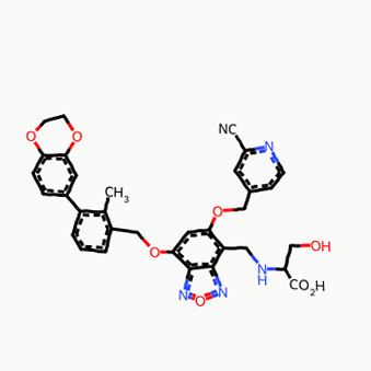 Cc1c(COc2cc(OCc3ccnc(C#N)c3)c(CNC(CO)C(=O)O)c3nonc23)cccc1-c1ccc2c(c1)OCCO2